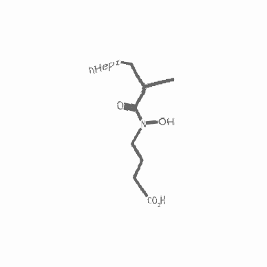 CCCCCCCCC(C)C(=O)N(O)CCCC(=O)O